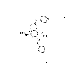 COc1c(OCc2ccccc2)cc(Br)c2c1CN(Nc1ccncc1)CC2.Cl